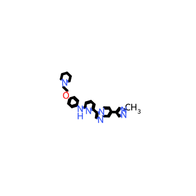 Cn1cc(-c2ccn3c(-c4cccc(Nc5ccc(OCCN6CCCCC6)cc5)n4)cnc3c2)cn1